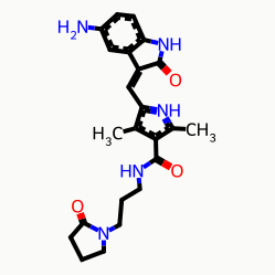 Cc1[nH]c(/C=C2\C(=O)Nc3ccc(N)cc32)c(C)c1C(=O)NCCCN1CCCC1=O